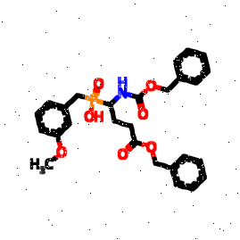 COc1cccc(CP(=O)(O)C(CCC(=O)OCc2ccccc2)NC(=O)OCc2ccccc2)c1